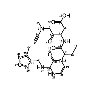 C#CN(C)CC(=O)C(CC(=O)O)NC(=O)C(CC)N1C=CNC(NCc2nonc2C)C1=O